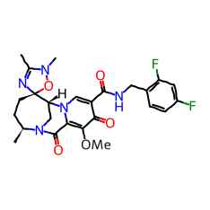 COc1c2n(cc(C(=O)NCc3ccc(F)cc3F)c1=O)[C@@H]1CN(C2=O)[C@@H](C)CC[C@]12N=C(C)N(C)O2